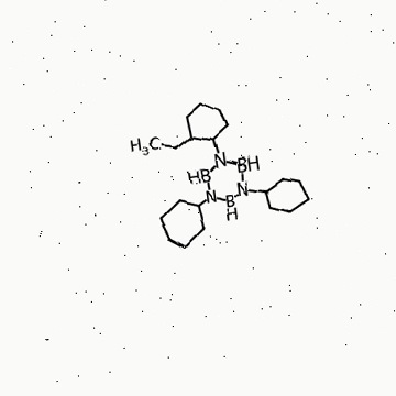 CCC1CCCCC1N1BN(C2CCCCC2)BN(C2CCCCC2)B1